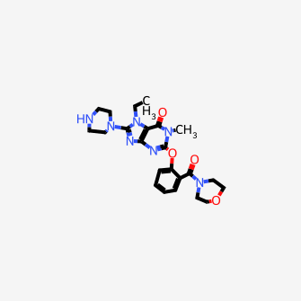 CCn1c(N2CCNCC2)nc2nc(Oc3ccccc3C(=O)N3CCOCC3)n(C)c(=O)c21